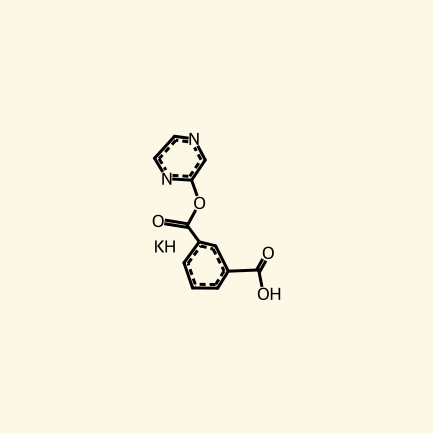 O=C(O)c1cccc(C(=O)Oc2cnccn2)c1.[KH]